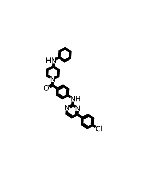 O=C(c1ccc(Nc2nccc(-c3ccc(Cl)cc3)n2)cc1)N1CCC(NC2CCCCC2)CC1